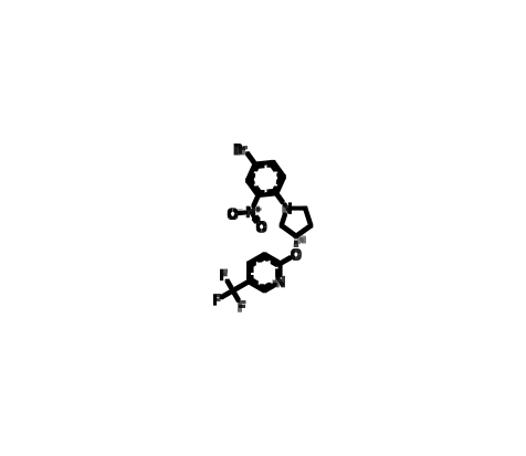 O=[N+]([O-])c1cc(Br)ccc1N1CC[C@H](Oc2ccc(C(F)(F)F)cn2)C1